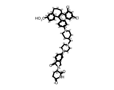 O=C1CC[C@@H](N2Cc3cc(N4CCN(CC5CCN(c6ccc(C7=C(c8ccc(Cl)cc8Cl)CCCc8cc(C(=O)O)ccc87)cc6)CC5)CC4)ccc3C2=O)C(=O)N1